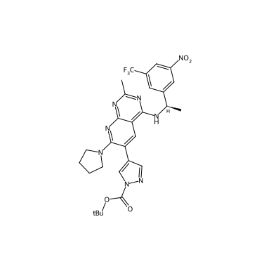 Cc1nc(N[C@H](C)c2cc([N+](=O)[O-])cc(C(F)(F)F)c2)c2cc(-c3cnn(C(=O)OC(C)(C)C)c3)c(N3CCCC3)nc2n1